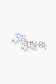 CC(C)(C)c1c[n+](CC(C)(C)c2c[n+](CC(C)(C)c3cnc[nH]3)co2)cs1